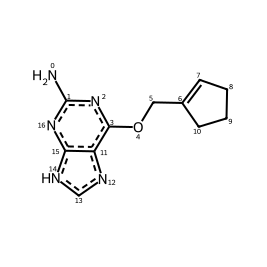 Nc1nc(OCC2=CCCC2)c2nc[nH]c2n1